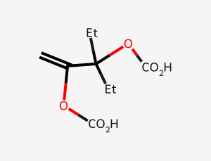 C=C(OC(=O)O)C(CC)(CC)OC(=O)O